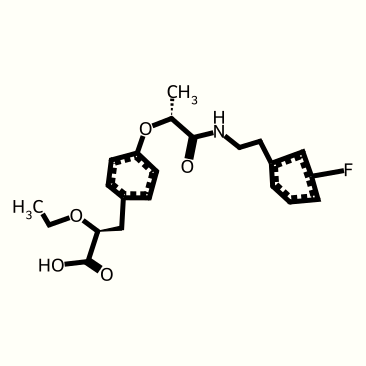 CCO[C@@H](Cc1ccc(O[C@H](C)C(=O)NCCc2cccc(F)c2)cc1)C(=O)O